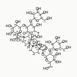 C=C(C)[C@]1(OC2OC(CO)C(O)C(OC3OC(CO)C(O)C(O)C3O)C2OC2OC(CO)C(O)C(O)C2O)CC[C@@H]2[C@@](C)(CC[C@H]3[C@@]2(C)CCC[C@@]3(C)C(=O)OC2OC(CO)C(O)C(O)C2OC2OC(CO)C(O)C(O)C2O)C1